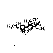 CCC(CC)c1c[n+](C)c(-c2ccc(CC(C)C)cc2C)cc1[Si](C)(C)C